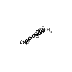 CCOc1ccc(C2=CCC(C3CCC(OC(=O)c4ccc(-c5ccc(C)c(F)c5F)c(F)c4F)CC3)CC2)c(F)c1F